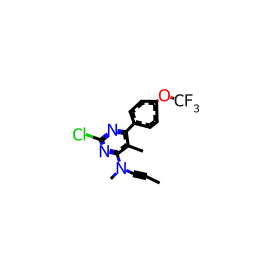 CC#CN(C)c1nc(Cl)nc(-c2ccc(OC(F)(F)F)cc2)c1C